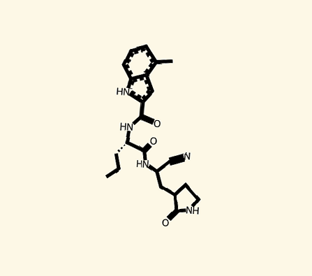 CCC[C@H](NC(=O)c1cc2c(C)cccc2[nH]1)C(=O)NC(C#N)CC1CCNC1=O